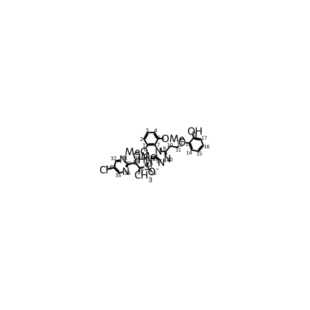 COc1cccc(OC)c1-n1c(CCOc2ccccc2O)nnc1N[S+]([O-])C(C)C(OC)c1ncc(Cl)cn1